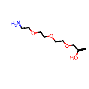 C=C(O)COCCOCCOCCN